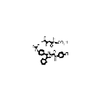 O=C(Nc1ccc(Cl)cc1)N1CC(c2ccccc2)C(c2ccc(OC(F)F)cc2)=N1.O=C(O)CNC(=O)CC(F)=C(F)F